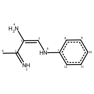 CC(=N)/C(N)=C\Nc1ccccc1